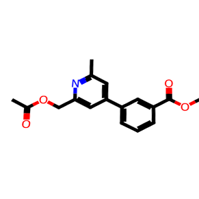 COC(=O)c1cccc(-c2cc(C)nc(COC(C)=O)c2)c1